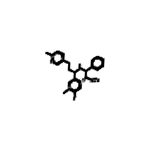 CNC(=O)C(N[C@H](CCc1ccc(C)nc1)c1ccc(F)c(C)c1)c1ccccc1